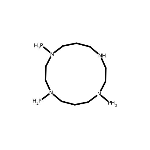 PN1CCCN(P)CCN(P)CCCNCC1